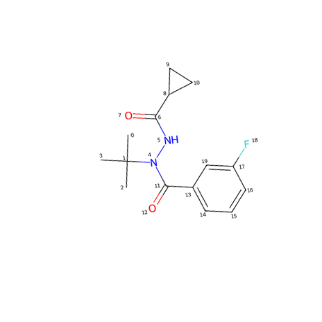 CC(C)(C)N(NC(=O)C1CC1)C(=O)c1cccc(F)c1